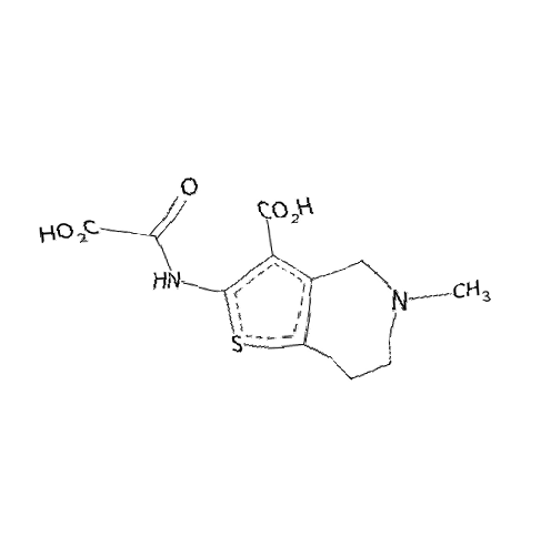 CN1CCc2sc(NC(=O)C(=O)O)c(C(=O)O)c2C1